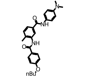 CCCCOc1ccc(C(=O)Nc2cc(C(=O)Nc3ccc(N(C)C)cc3)ccc2C)cc1